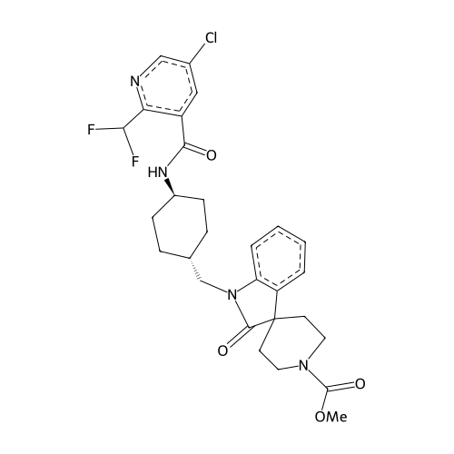 COC(=O)N1CCC2(CC1)C(=O)N(C[C@H]1CC[C@H](NC(=O)c3cc(Cl)cnc3C(F)F)CC1)c1ccccc12